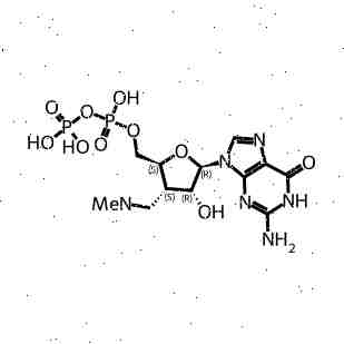 CNC[C@H]1[C@@H](O)[C@H](n2cnc3c(=O)[nH]c(N)nc32)O[C@@H]1COP(=O)(O)OP(=O)(O)O